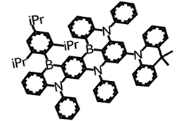 CC(C)c1cc(C(C)C)c(B2c3ccccc3N(c3ccccc3)c3cc4c(cc32)B2c3ccccc3N(c3ccccc3)c3cc(N5c6ccccc6C(C)(C)c6ccccc65)cc(c32)N4c2ccccc2)c(C(C)C)c1